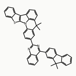 CC1(C)c2ccccc2-c2ccc(-c3nc(-c4ccc5c(c4)C(C)(C)c4cccc6c7c8ccccc8sc7n-5c46)nc4ccccc34)cc21